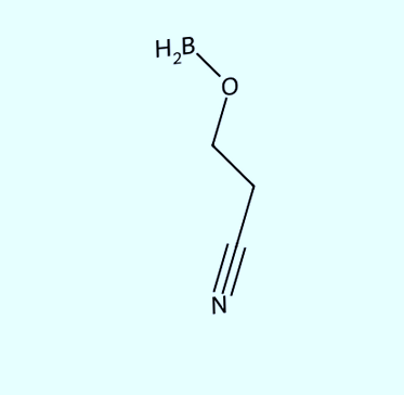 BOCCC#N